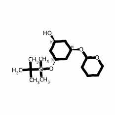 CC(C)(C)[Si](C)(C)O[C@@H]1C[C@@H](O)C[C@@H](OC2CCCCO2)C1